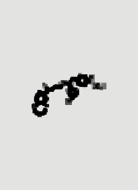 CCc1csc([C@H](Cc2ccc(NS(=O)(=O)O)cc2)NCCCC(=O)c2ccc3c(c2)OCCCO3)n1